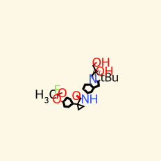 CC1(F)Oc2ccc(C3(C(=O)Nc4ccc5c(c4)cc(C(C)(C)C)n5C[C@@H](O)CO)CC3)cc2O1